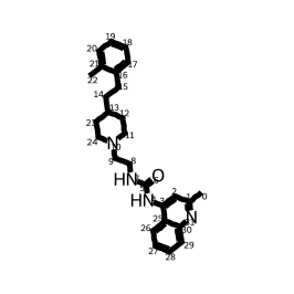 Cc1cc(NC(=O)NCCN2CCC(CCc3ccccc3C)CC2)c2ccccc2n1